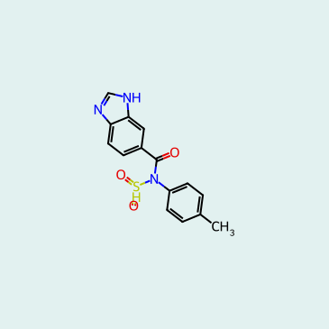 Cc1ccc(N(C(=O)c2ccc3nc[nH]c3c2)[SH](=O)=O)cc1